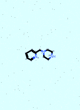 [CH](c1ccccn1)N1CCNCC1